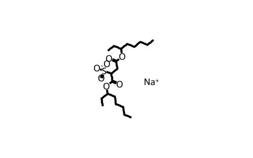 CCCCCC(CC)OC(=O)CC(C(=O)OC(CC)CCCCC)S(=O)(=O)[O-].[Na+]